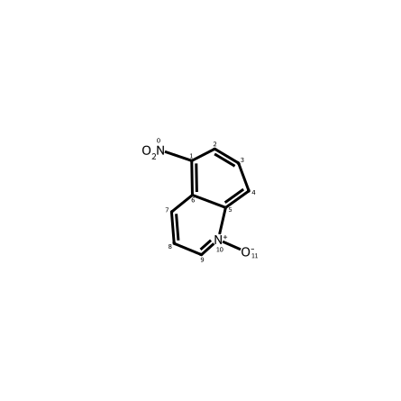 O=[N+]([O-])c1cccc2c1ccc[n+]2[O-]